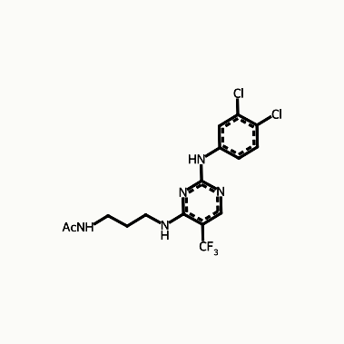 CC(=O)NCCCNc1nc(Nc2ccc(Cl)c(Cl)c2)ncc1C(F)(F)F